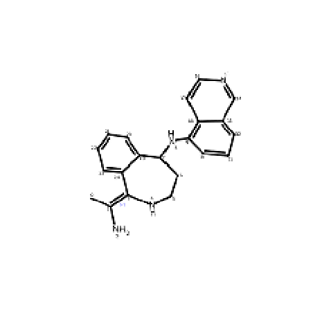 C/C(N)=C1/NCCC(Nc2cccc3cnccc23)c2ccccc21